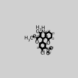 COC(=O)C1=C(C)NC2=C(C(=O)CCC2)C1c1ccc(Cl)c([N+](=O)[O-])c1